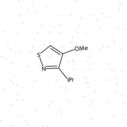 COc1csnc1C(C)C